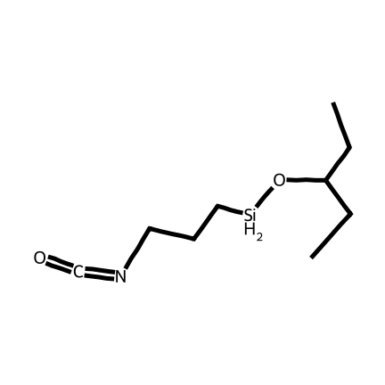 CCC(CC)O[SiH2]CCCN=C=O